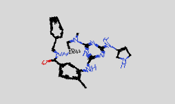 Cc1ccc(C(=O)NCc2ccccc2)cc1Nc1nc(N[C@H]2CCNC2)nc(N(C)CC(C)(C)C)n1